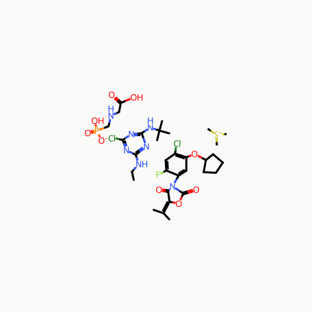 CC(C)=C1OC(=O)N(c2cc(OC3CCCC3)c(Cl)cc2F)C1=O.CCNc1nc(Cl)nc(NC(C)(C)C)n1.C[S+](C)C.O=C(O)CNCP(=O)([O-])O